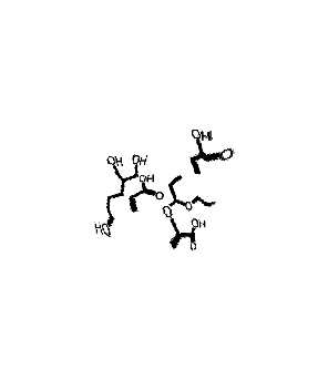 C=C(OC(CC)OCC)C(=O)O.C=CC(=O)O.C=CC(=O)O.OCCCC(CO)CO